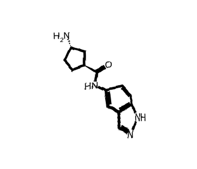 N[C@H]1CC[C@H](C(=O)Nc2ccc3[nH]ncc3c2)C1